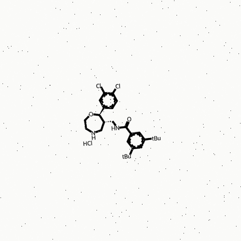 CC(C)(C)c1cc(C(=O)NC[C@@H]2CNCCO[C@H]2c2ccc(Cl)c(Cl)c2)cc(C(C)(C)C)c1.Cl